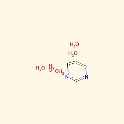 O.O.O.O.O.c1cncnc1